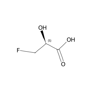 O=C(O)[C@H](O)CF